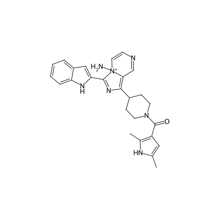 Cc1cc(C(=O)N2CCC(C3=C4C=NC=C[N+]4(N)C(c4cc5ccccc5[nH]4)=N3)CC2)c(C)[nH]1